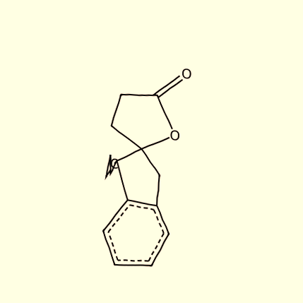 O=C1CCC2(Cc3ccccc3C23CCCC3)O1